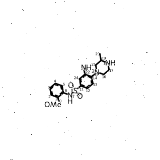 COc1ccccc1NS(=O)(=O)c1ccc(N2CCNC(C)C2)c(N)c1